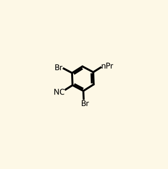 CCCc1cc(Br)c(C#N)c(Br)c1